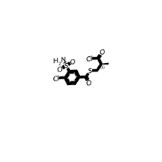 C[C@@H](CSC(=O)c1ccc(Cl)c(S(N)(=O)=O)c1)C(=O)Cl